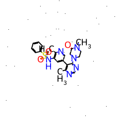 Cc1ncc(-c2c(C)ncnc2N2CCN(C)C(=O)C2)cc1NS(=O)(=O)c1ccccc1